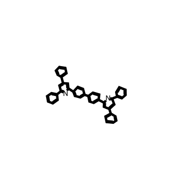 c1ccc(-c2cc(-c3ccccc3)nc(-c3ccc(-c4ccc(-c5cc(-c6ccccc6)cc(-c6ccccc6)n5)cc4)cc3)c2)cc1